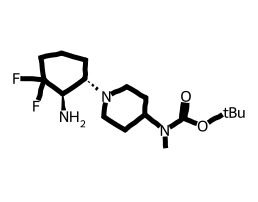 CN(C(=O)OC(C)(C)C)C1CCN([C@H]2CCCC(F)(F)[C@@H]2N)CC1